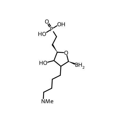 B[C@@H]1O[C@H](CCP(=O)(O)O)C(O)C1CCCCNC